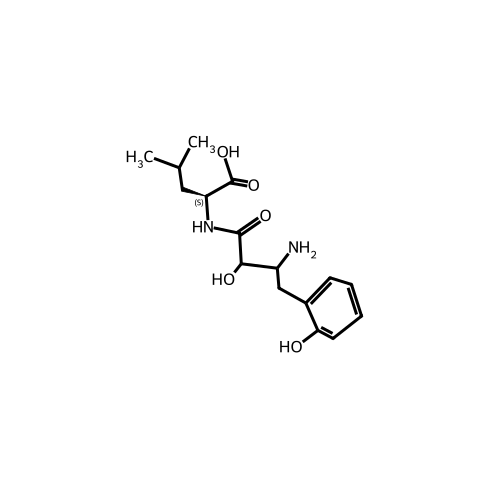 CC(C)C[C@H](NC(=O)C(O)C(N)Cc1ccccc1O)C(=O)O